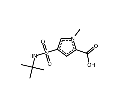 Cn1cc(S(=O)(=O)NC(C)(C)C)cc1C(=O)O